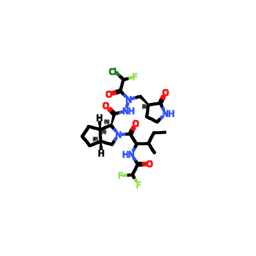 CCC(C)C(NC(=O)C(F)F)C(=O)N1C[C@@H]2CCC[C@@H]2[C@H]1C(=O)NN(C[C@@H]1CCNC1=O)C(=O)C(F)Cl